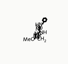 C=C1N(COC)N=NC2=C(c3nnc(NCc4ccccc4)o3)NCN12